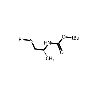 CC(C)SC[C@@H](C)NC(=O)OC(C)(C)C